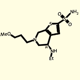 CCN[C@H]1CN(CCCOC)Cc2sc(S(N)(=O)=O)cc21